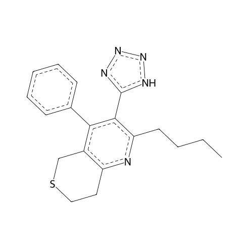 CCCCc1nc2c(c(-c3ccccc3)c1-c1nnn[nH]1)CSCC2